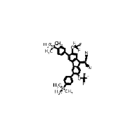 C[Si](C)(C)c1ccc(-c2cc3c(cc2OC(F)(F)F)C(=C(C#N)C#N)c2cc(OC(F)(F)F)c(-c4ccc([Si](C)(C)C)cc4)cc2-3)cc1